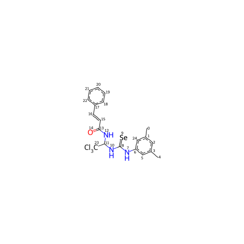 Cc1cc(C)cc(NC(=[Se])NC(NC(=O)/C=C/c2ccccc2)C(Cl)(Cl)Cl)c1